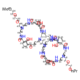 CCCOCCOCCN1CCNC(=O)c2cccc(c2O)C(=O)NCCN(CCN2CCCC(=O)c3cccc(c3O)C(=O)NCCN(CCOCCOCCOC)CCNC(=O)c3cccc(c3O)C(=O)NC(CCCCN)C2)CCNC(=O)c2cccc(c2O)C(=O)NCC1